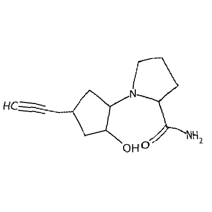 C#CC1CC(O)C(N2CCCC2C(N)=O)C1